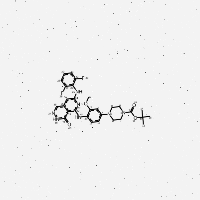 COc1cc(N2CCN(C(=O)OC(C)(C)C)CC2)ccc1Nc1nc(Nc2c(F)cccc2F)cc2cn[nH]c(=O)c12